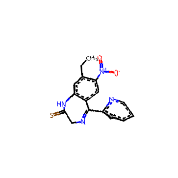 CCc1cc2c(cc1[N+](=O)[O-])C(c1ccccn1)=NCC(=S)N2